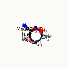 CO[C@H]1C[C@@H]2CC[C@@H](C)[C@@](O)(O2)C(=O)C(=O)N2CCCC[C@H]2C(=O)O[C@H]([C@H](C)C[C@@H]2CC[C@H](n3cnnn3)[C@H](OC)C2)CC[C@H](C)/C=C(\C)[C@@H](O)[C@@H](OC)C(=O)[C@H](C)C[C@H](C)/C=C/C=C/C=C/1C